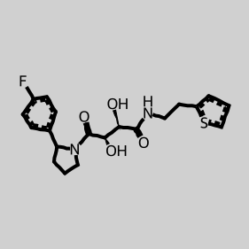 O=C(NCCc1cccs1)[C@H](O)[C@@H](O)C(=O)N1CCCC1c1ccc(F)cc1